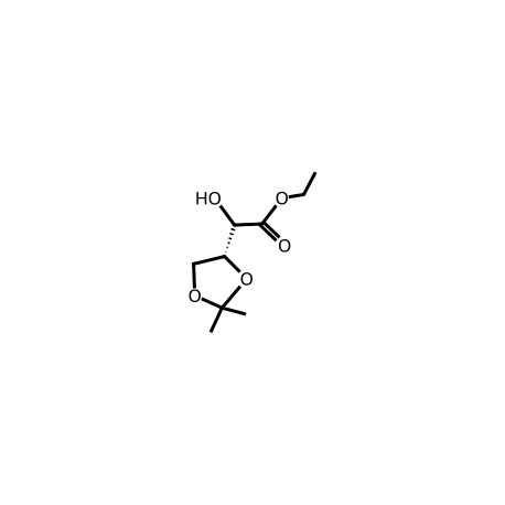 CCOC(=O)C(O)[C@H]1COC(C)(C)O1